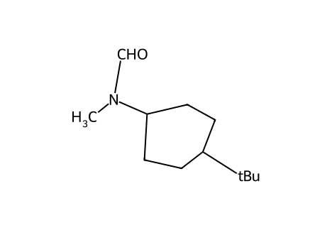 CN(C=O)C1CCC(C(C)(C)C)CC1